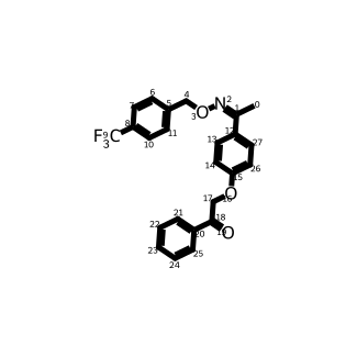 CC(=NOCc1ccc(C(F)(F)F)cc1)c1ccc(OCC(=O)c2ccccc2)cc1